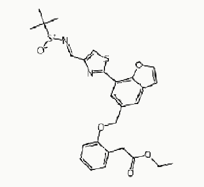 CCOC(=O)Cc1ccccc1OCc1cc(-c2nc(/C=N/[S+]([O-])C(C)(C)C)cs2)c2occc2c1